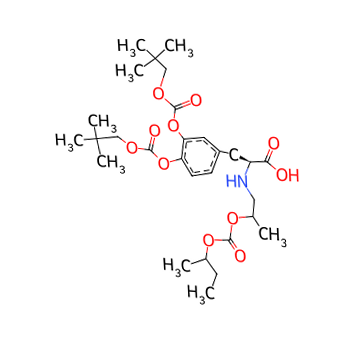 CCC(C)OC(=O)OC(C)CN[C@@H](Cc1ccc(OC(=O)OCC(C)(C)C)c(OC(=O)OCC(C)(C)C)c1)C(=O)O